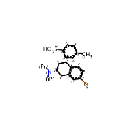 CCCN(CCC)[C@@H]1CCc2ccc(Br)cc2C1.Cc1ccc(S(=O)(=O)O)cc1